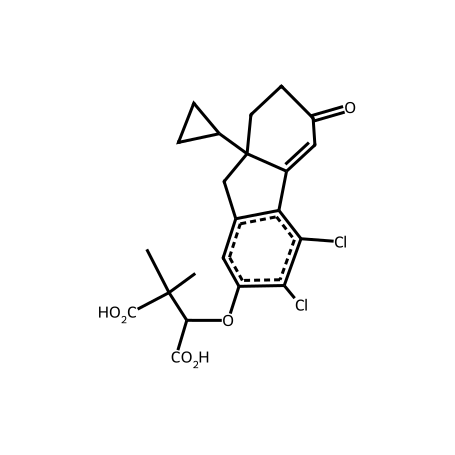 CC(C)(C(=O)O)C(Oc1cc2c(c(Cl)c1Cl)C1=CC(=O)CCC1(C1CC1)C2)C(=O)O